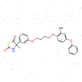 CCCc1cc(Oc2ccccc2)ccc1OCCCCOc1cccc(C2(C)NC(=O)SC2=O)c1